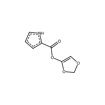 O=C(OC1=COCO1)c1ccc[nH]1